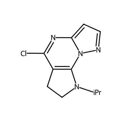 CC(C)N1CCc2c(Cl)nc3ccnn3c21